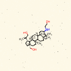 C=C(CO)[C@@H]1CC[C@]2(CO)CC[C@]3(C)[C@H](CC[C@@H]4[C@@]5(C)CCC(NCCO)C(C)(C)[C@@H]5CC[C@]43C)[C@@H]12